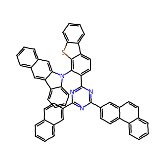 c1ccc2cc(-c3nc(-c4ccc5c(ccc6ccccc65)c4)nc(-c4ccc5c(sc6ccccc65)c4-n4c5ccccc5c5cc6ccccc6cc54)n3)ccc2c1